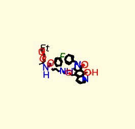 CCOCOC[C@H](C)NP(CCCNCOCC1=c2cccnc2=C(O)C2C(=O)N(CC3=CCC(F)C=C3)CC12)OC1=CC=CCC1